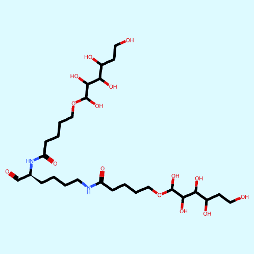 O=C[C@H](CCCCNC(=O)CCCCOC(O)C(O)C(O)C(O)CCO)NC(=O)CCCCOC(O)C(O)C(O)C(O)CCO